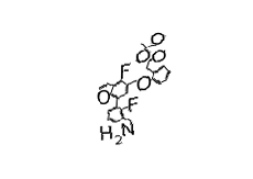 COCC(C)OC(=O)Cc1ccccc1OCc1cc(-c2cccc(CN)c2F)c2occc2c1F